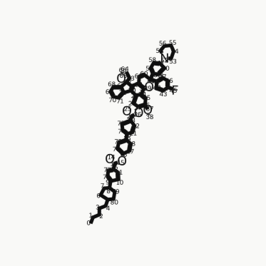 CCCCCC1CCC(c2ccc(C(=O)Oc3ccc(-c4ccc(C(=O)Oc5cc6c7c(c8c(c6cc5OC)OC(c5ccc(F)cc5)(c5ccc(N6CCCCC6)cc5)C=C8)C(CC)(OC)c5ccccc5-7)cc4)cc3)cc2)CC1